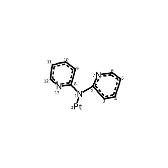 [Pt][N](c1ccccn1)c1ccccn1